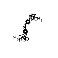 CCO[C@@H](Cc1ccc(OCCc2ccc(NCC(C)C(F)(F)F)cc2)cc1)C(=O)O